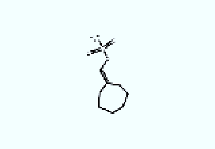 CS(=O)(=O)OC=C1CCCCCC1